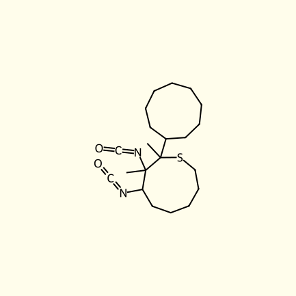 CC1(N=C=O)C(N=C=O)CCCCCSC1(C)C1CCCCCCCC1